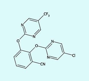 N#Cc1cccc(Oc2ncc(C(F)(F)F)cn2)c1Oc1ncc(Cl)cn1